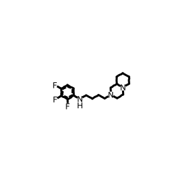 Fc1ccc(NCCCCN2CCN3CCCCC3C2)c(F)c1F